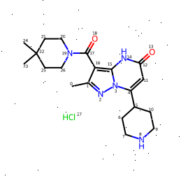 Cc1nn2c(C3CCNCC3)cc(=O)[nH]c2c1C(=O)N1CCC(C)(C)CC1.Cl